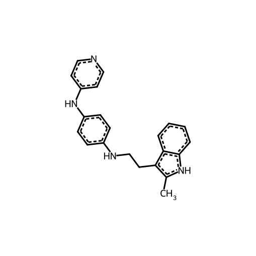 Cc1[nH]c2ccccc2c1CCNc1ccc(Nc2ccncc2)cc1